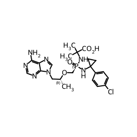 C[C@H](Cn1cnc2c(N)ncnc21)OC[P@@](=O)(NC(C)(C)C(=O)O)NC1(c2ccc(Cl)cc2)CC1